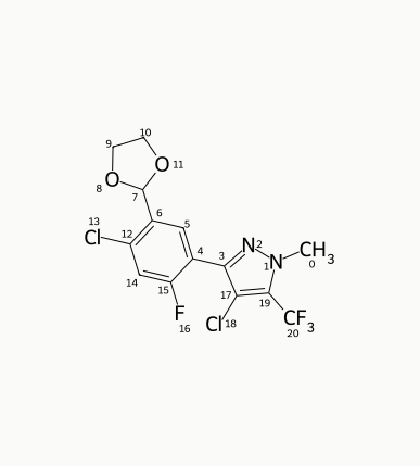 Cn1nc(-c2cc(C3OCCO3)c(Cl)cc2F)c(Cl)c1C(F)(F)F